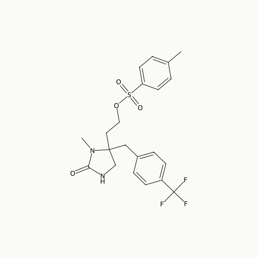 Cc1ccc(S(=O)(=O)OCCC2(Cc3ccc(C(F)(F)F)cc3)CNC(=O)N2C)cc1